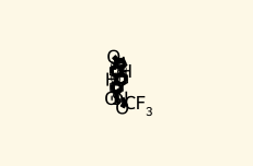 C[C@]12CC[C@@H]3c4ccc(S(C)(=O)=NC(=O)C(F)(F)F)cc4CC[C@H]3[C@@H]1CCC2=O